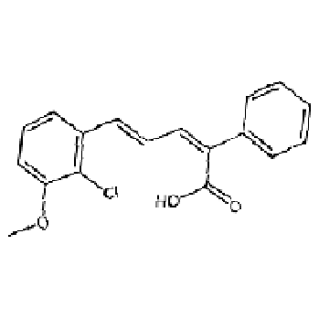 COc1cccc(/C=C/C=C(C(=O)O)c2ccccc2)c1Cl